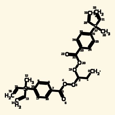 [CH2]C[C](OOC(=O)c1ccc([Si](C)(C=C)C=C)cc1)OOC(=O)c1ccc([Si](C)(C=C)C=C)cc1